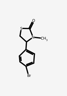 CN1C(=O)SCC1c1ccc(Br)cc1